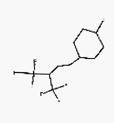 FC(F)(F)C(CCC1CCC(I)CC1)C(F)(F)F